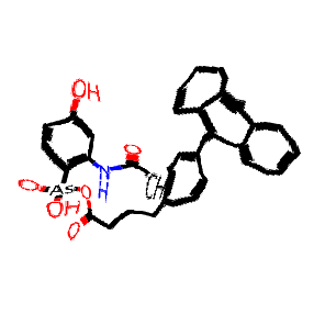 CC(=O)Nc1cc(O)ccc1[As](=O)(O)OC(=O)CCCc1ccc(-c2c3ccccc3cc3ccccc23)cc1